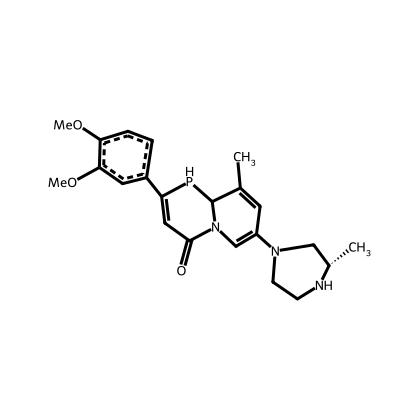 COc1ccc(C2=CC(=O)N3C=C(N4CCN[C@@H](C)C4)C=C(C)C3P2)cc1OC